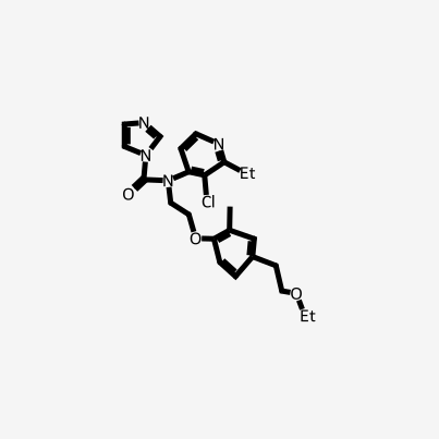 CCOCCc1ccc(OCCN(C(=O)n2ccnc2)c2ccnc(CC)c2Cl)c(C)c1